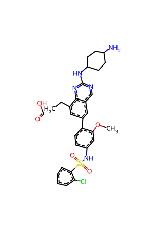 CCc1cc(-c2ccc(NS(=O)(=O)c3ccccc3Cl)cc2OC)cc2cnc(NC3CCC(N)CC3)nc12.O=CO